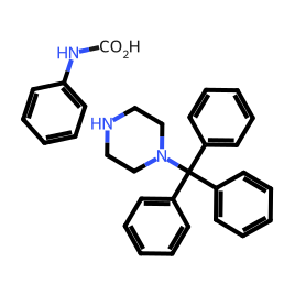 O=C(O)Nc1ccccc1.c1ccc(C(c2ccccc2)(c2ccccc2)N2CCNCC2)cc1